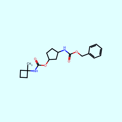 CC1(NC(=O)O[C]2CCC(NC(=O)OCc3ccccc3)C2)CCC1